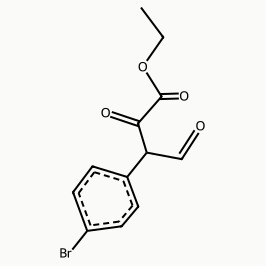 CCOC(=O)C(=O)C(C=O)c1ccc(Br)cc1